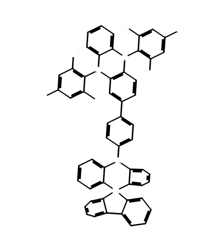 CC(C)c1cc(C(C)C)c(B2c3ccccc3B(c3c(C(C)C)cc(C(C)C)cc3C(C)C)c3cc(-c4ccc(N5c6ccccc6[Si]6(c7ccccc7-c7ccccc76)c6ccccc65)cc4)ccc32)c(C(C)C)c1